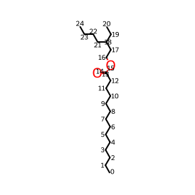 CCCCCCCCCCCCCC(=O)OCCC(CC)CCCC